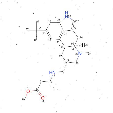 COC(=O)CCNC[C@@H]1CC2c3cc(C(C)(C)C)cc4[nH]cc(c34)C[C@H]2N(C)C1